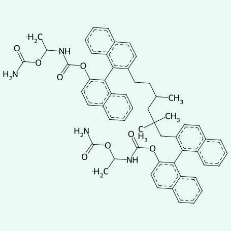 [CH2]C(NC(=O)Oc1ccc2ccccc2c1-c1c(CCC(C)CC(C)(C)Cc2ccc3ccccc3c2-c2c(OC(=O)NC([CH2])OC(N)=O)ccc3ccccc23)ccc2ccccc12)OC(N)=O